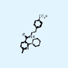 Cc1ccc(C(=O)NCCc2ccc(C(=O)O)cc2)c(N2CCCCC2)n1